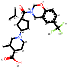 CC1CN([C@@H]2CC[C@@](C(=O)N3COc4ccc(C(F)(F)F)cc4C3)(C(C)C)C2)CCC1C(=O)O